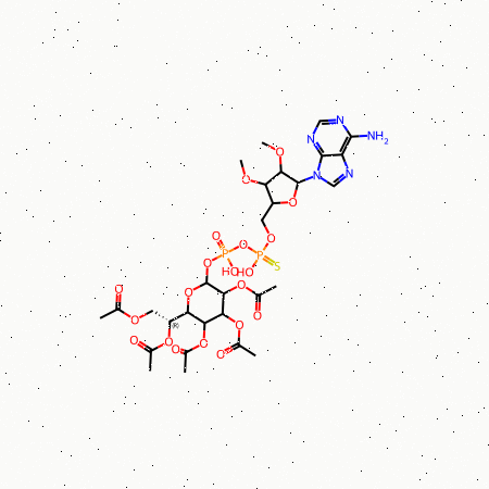 COC1C(COP(O)(=S)OP(=O)(O)OC2OC([C@@H](COC(C)=O)OC(C)=O)C(OC(C)=O)C(OC(C)=O)C2OC(C)=O)OC(n2cnc3c(N)ncnc32)C1OC